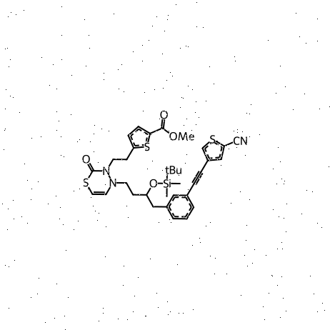 COC(=O)c1ccc(CCN2C(=O)SC=CN2CCC(Cc2cccc(C#Cc3csc(C#N)c3)c2)O[Si](C)(C)C(C)(C)C)s1